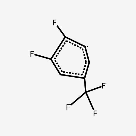 Fc1[c]cc(C(F)(F)F)cc1F